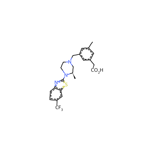 Cc1cc(CC(=O)O)cc(CN2CCN(c3nc4ccc(C(F)(F)F)cc4s3)[C@H](C)C2)c1